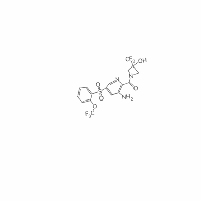 Nc1cc(S(=O)(=O)c2ccccc2OC(F)(F)F)cnc1C(=O)N1CC(O)(C(F)(F)F)C1